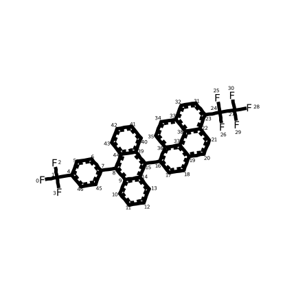 FC(F)(F)c1ccc(-c2c3ccccc3c(-c3ccc4ccc5c(C(F)(F)C(F)(F)F)ccc6ccc3c4c65)c3ccccc23)cc1